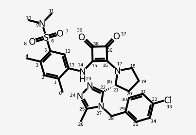 Cc1cc(C)c(S(=O)(=O)N(C)C)cc1Nc1c(N2CCC[C@@H]2c2nnc(C)n2Cc2ccc(Cl)cc2)c(=O)c1=O